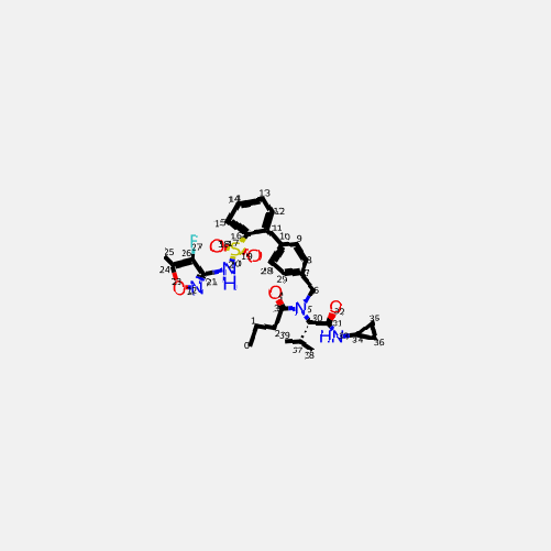 CCCC(=O)N(Cc1ccc(-c2ccccc2S(=O)(=O)Nc2noc(C)c2F)cc1)[C@H](C(=O)NC1CC1)C(C)C